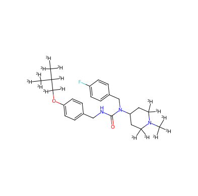 [2H]C([2H])([2H])N1C([2H])([2H])CC(N(Cc2ccc(F)cc2)C(=O)NCc2ccc(OC([2H])([2H])C([2H])(C([2H])([2H])[2H])C([2H])([2H])[2H])cc2)CC1([2H])[2H]